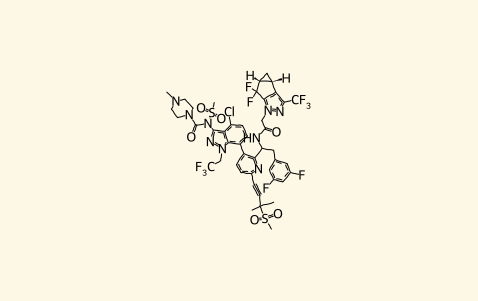 CN1CCN(C(=O)N(c2nn(CC(F)(F)F)c3c(-c4ccc(C#CC(C)(C)S(C)(=O)=O)nc4C(Cc4cc(F)cc(F)c4)NC(=O)Cn4nc(C(F)(F)F)c5c4C(F)(F)[C@@H]4C[C@H]54)ccc(Cl)c23)S(C)(=O)=O)CC1